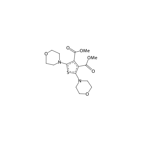 COC(=O)c1c(N2CCOCC2)sc(N2CCOCC2)c1C(=O)OC